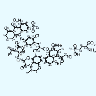 CC1COc2ccccc2N1C(=O)C(Cl)Cl.CCOC(=O)C(Cl)Cc1cc(-n2nc(C)n(C(F)F)c2=O)c(F)cc1Cl.CCc1cccc(C)c1N(C(=O)CCl)C(C)COC.CP(=O)(O)CCC(N)C(=O)O.CS(=O)(=O)c1ccc(C(=O)C2C(=O)CCCC2=O)c([N+](=O)[O-])c1